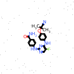 CC(C)(C#N)Oc1ccc(Nc2nc(Nc3ccc(C(N)=O)cc3)ncc2F)cc1